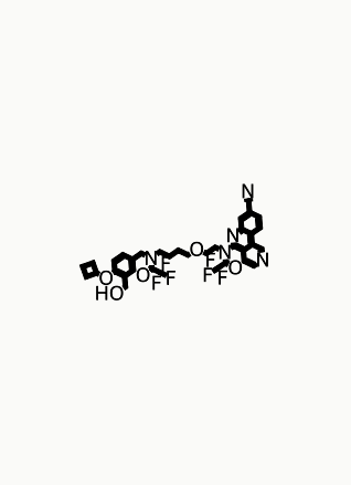 N#Cc1ccc2c(c1)nc(N(CCOCCCCN(Cc1ccc(OC3CCC3)c(CO)c1)C(=O)C(F)(F)F)C(=O)C(F)(F)F)c1ccncc12